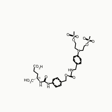 CS(=O)(=O)OCCN(CCOS(C)(=O)=O)c1ccc(CNC(=O)OCc2ccc(NC(=O)N[C@@H](CCC(=O)O)C(=O)O)cc2)cc1